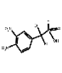 CCC(CC)(c1ccc([N+](=O)[O-])c([N+](=O)[O-])c1)P(=O)(O)O